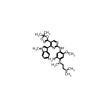 COc1cc(N(C)CCN(C)C)c(N)cc1Nc1ncc(C2=NOC(C)(C)O2)c(-c2cn(C)c3ccccc23)n1